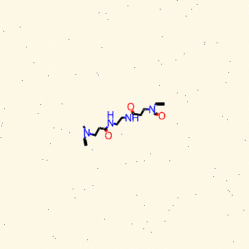 C=CN(C)CCC(=O)NCCNC(=O)CCN(C=C)C=O